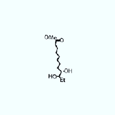 CC[C@@H](O)[C@@H](O)CCCCCCCC(=O)OC